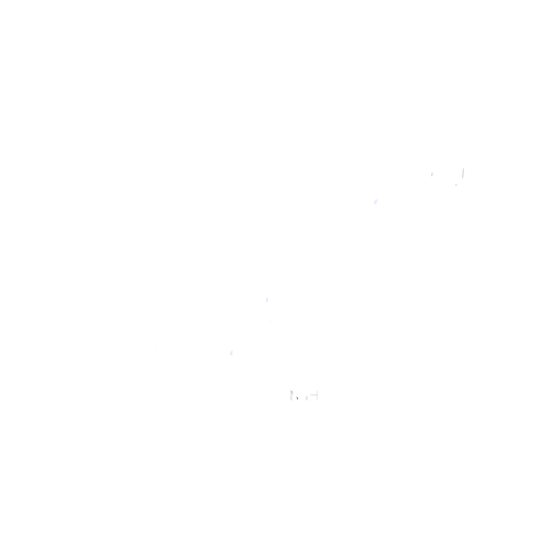 CC1=C(/C=C/C(C)=C/C=C/C(C)=C/C(=O)O)C(C)(C)CCC1.[NaH]